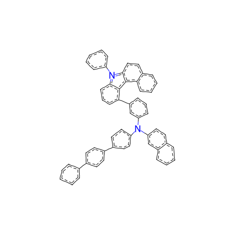 c1ccc(-c2ccc(-c3ccc(N(c4cccc(-c5cccc6c5c5c7ccccc7ccc5n6-c5ccccc5)c4)c4ccc5ccccc5c4)cc3)cc2)cc1